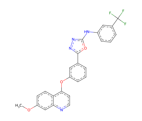 COc1ccc2c(Oc3cccc(-c4nnc(Nc5cccc(C(F)(F)F)c5)o4)c3)ccnc2c1